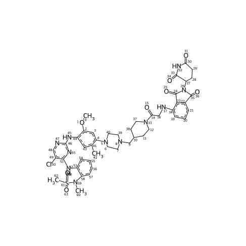 COc1cc(N2CCN(CC3CCN(C(=O)CNc4cccc5c4C(=O)N(C4CCC(=O)NC4=O)C5=O)CC3)CC2)c(C)cc1Nc1ncc(Cl)c(Nc2ccccc2N(C)S(C)(=O)=O)n1